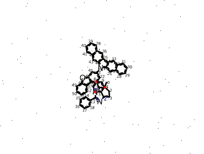 CC1C/C=C(c2ccccc2)/N=C(c2ccccc2)\N=C/1c1cc(-n2c3cc4ccccc4cc3c3cc4ccccc4cc32)cc2oc3ccccc3c12